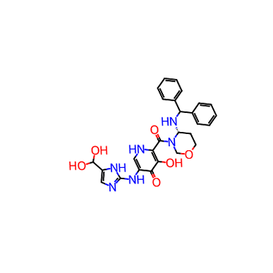 O=C(c1[nH]cc(Nc2ncc(C(O)O)[nH]2)c(=O)c1O)N1COCC[C@H]1NC(c1ccccc1)c1ccccc1